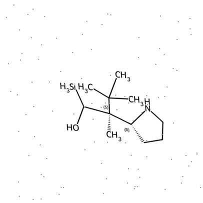 CC(C)(C)[C@](C)(C(O)[SiH3])[C@H]1CCCN1